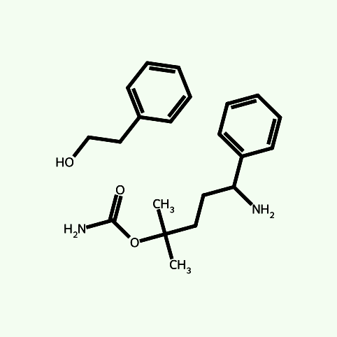 CC(C)(CCC(N)c1ccccc1)OC(N)=O.OCCc1ccccc1